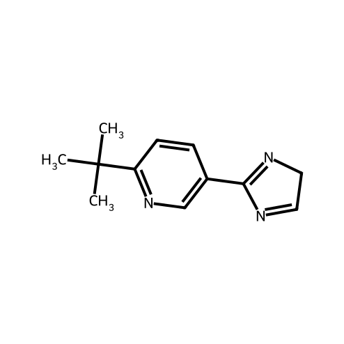 CC(C)(C)c1ccc(C2=NCC=N2)cn1